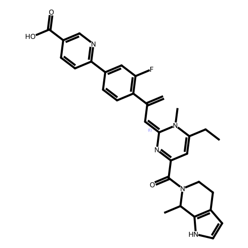 C=C(/C=C1/N=C(C(=O)N2CCc3cc[nH]c3C2C)C=C(CC)N1C)c1ccc(-c2ccc(C(=O)O)cn2)cc1F